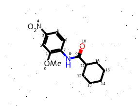 COc1cc([N+](=O)[O-])ccc1NC(=O)C1CCCCC1